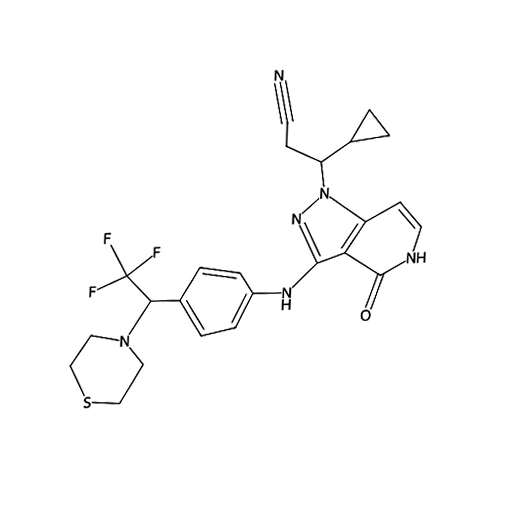 N#CCC(C1CC1)n1nc(Nc2ccc(C(N3CCSCC3)C(F)(F)F)cc2)c2c(=O)[nH]ccc21